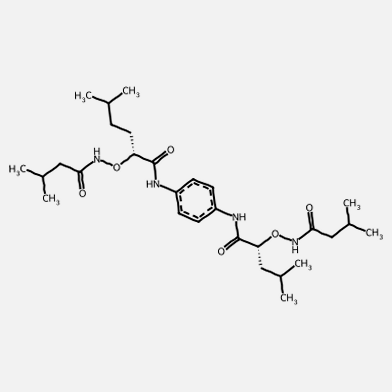 CC(C)CC[C@@H](ONC(=O)CC(C)C)C(=O)Nc1ccc(NC(=O)[C@@H](CC(C)C)ONC(=O)CC(C)C)cc1